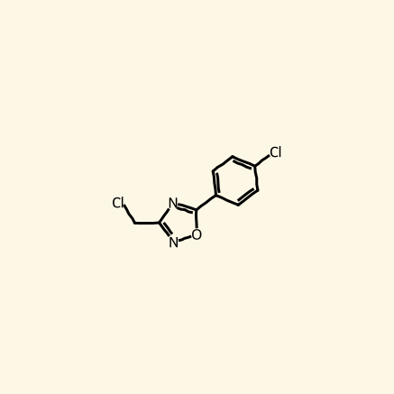 ClCc1noc(-c2ccc(Cl)cc2)n1